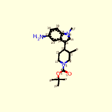 CC1CN(C(=O)OC(C)(C)C)CCC1c1cn(C)c2ccc(N)cc12